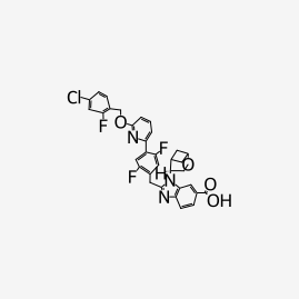 O=C(O)c1ccc2nc(Cc3cc(F)c(-c4cccc(OCc5ccc(Cl)cc5F)n4)cc3F)n([C@@H]3COC4CC3C4)c2c1